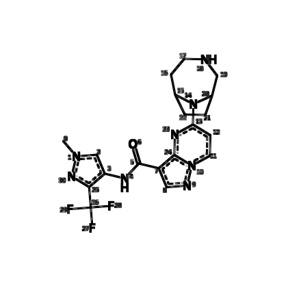 Cn1cc(NC(=O)c2cnn3ccc(N4C5CCNCC4CC5)nc23)c(C(F)(F)F)n1